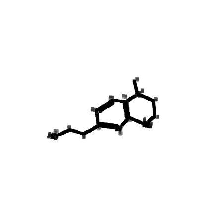 CN1CCNc2nc(CCO)ccc21